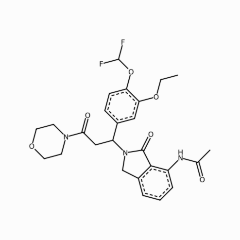 CCOc1cc(C(CC(=O)N2CCOCC2)N2Cc3cccc(NC(C)=O)c3C2=O)ccc1OC(F)F